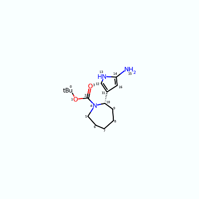 CC(C)(C)OC(=O)N1CCCCC[C@H]1c1c[nH]c(N)c1